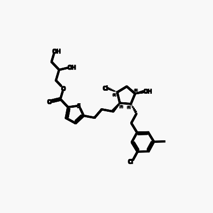 Cc1cc(Cl)cc(CC[C@@H]2[C@@H](CCCc3ccc(C(=O)OCC(O)CO)s3)[C@H](Cl)C[C@H]2O)c1